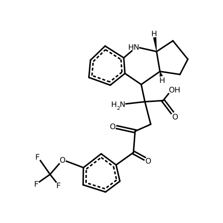 NC(CC(=O)C(=O)c1cccc(OC(F)(F)F)c1)(C(=O)O)C1c2ccccc2N[C@@H]2CCC[C@H]12